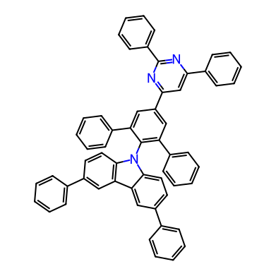 c1ccc(-c2ccc3c(c2)c2cc(-c4ccccc4)ccc2n3-c2c(-c3ccccc3)cc(-c3cc(-c4ccccc4)nc(-c4ccccc4)n3)cc2-c2ccccc2)cc1